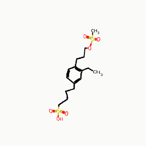 CCc1cc(CCCCS(=O)(=O)O)ccc1CCCOS(C)(=O)=O